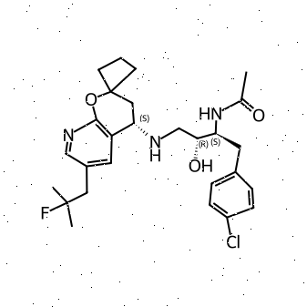 CC(=O)N[C@@H](Cc1ccc(Cl)cc1)[C@H](O)CN[C@H]1CC2(CCC2)Oc2ncc(CC(C)(C)F)cc21